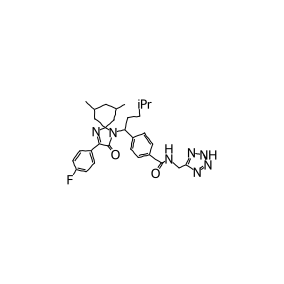 CC(C)CCC(c1ccc(C(=O)NCc2nn[nH]n2)cc1)N1C(=O)C(c2ccc(F)cc2)=NC12CC(C)CC(C)C2